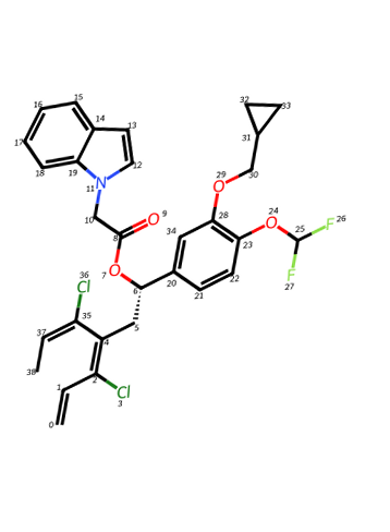 C=C/C(Cl)=C(C[C@H](OC(=O)Cn1ccc2ccccc21)c1ccc(OC(F)F)c(OCC2CC2)c1)\C(Cl)=C/C